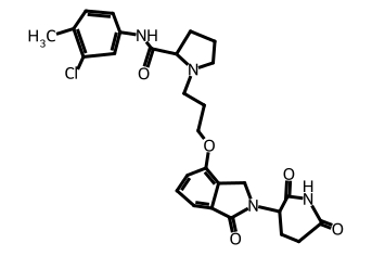 Cc1ccc(NC(=O)C2CCCN2CCCOc2cccc3c2CN(C2CCC(=O)NC2=O)C3=O)cc1Cl